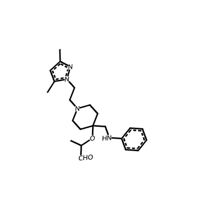 Cc1cc(C)n(CCN2CCC(CNc3ccccc3)(OC(C)C=O)CC2)n1